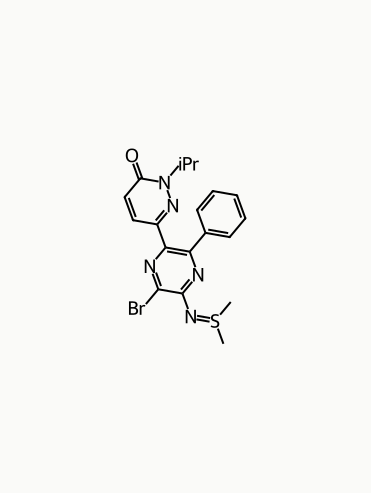 CC(C)n1nc(-c2nc(Br)c(N=S(C)C)nc2-c2ccccc2)ccc1=O